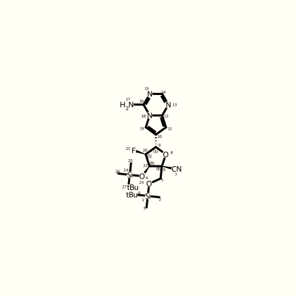 CC(C)(C)[Si](C)(C)OC[C@@]1(C#N)O[C@@H](c2cc3ncnc(N)n3c2)[C@H](F)[C@@H]1O[Si](C)(C)C(C)(C)C